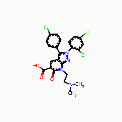 CN(C)CCn1c(=O)c(C(=O)O)cc2c(-c3ccc(Cl)cc3)n(-c3ccc(Cl)cc3Cl)nc21